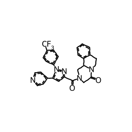 O=C(c1cc(-c2ccncc2)n(-c2ccc(C(F)(F)F)cc2)n1)N1CC(=O)N2CCc3ccccc3C2C1